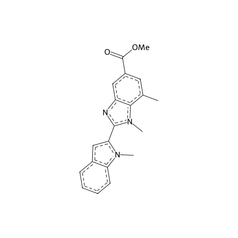 COC(=O)c1cc(C)c2c(c1)nc(-c1cc3ccccc3n1C)n2C